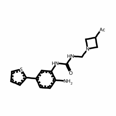 CC(=O)C1CN(CNC(=O)Nc2cc(-c3cccs3)ccc2N)C1